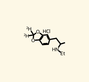 Cl.[2H]C1([2H])Oc2ccc(CC(C)NCC)cc2O1